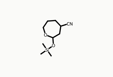 C[Si](C)(C)OC1CC(C#N)CCCO1